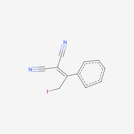 N#CC(C#N)=C(CI)c1ccccc1